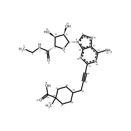 CCNC(=O)[C@H]1O[C@@H](n2cnc3c(N)nc(C#CCC4CCC(C)(C(=O)O)CC4)nc32)[C@H](O)[C@@H]1O